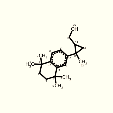 CC1(C)CCC(C)(C)c2cc(C3(C)CC3CO)ccc21